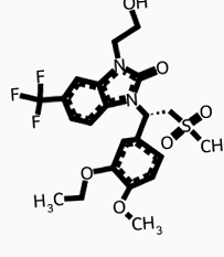 CCOc1cc([C@@H](CS(C)(=O)=O)n2c(=O)n(CCO)c3cc(C(F)(F)F)ccc32)ccc1OC